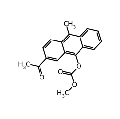 COC(=O)Oc1c2ccccc2c(C)c2ccc(C(C)=O)cc12